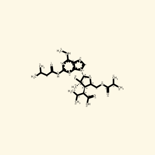 CNc1nc(NC(=O)CC(C)C)nc2c1ncn2[C@@H]1OC(COC(=O)C(C)C)[C@@H](C(C(=O)O)C(C)C)[C@@]1(C)F